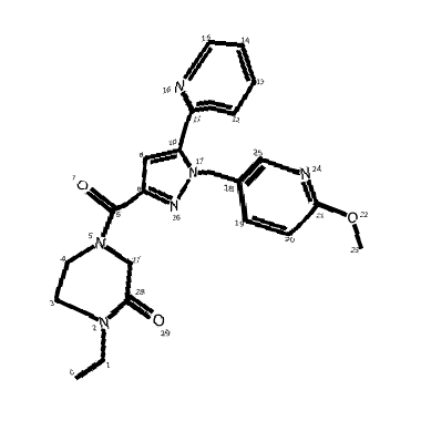 CCN1CCN(C(=O)c2cc(-c3ccccn3)n(-c3ccc(OC)nc3)n2)CC1=O